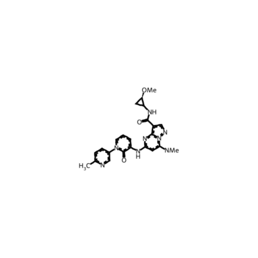 CNc1cc(Nc2cccn(-c3ccc(C)nc3)c2=O)nc2c(C(=O)NC3C[C@H]3OC)cnn12